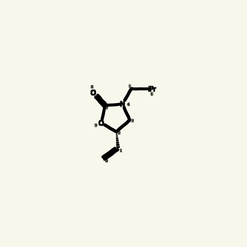 C=C[C@H]1CN(CC(C)C)C(=O)O1